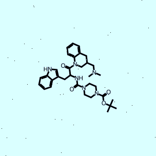 CN(C)CC1Cc2ccccc2N(C(=O)C(Cc2c[nH]c3ccccc23)NC(=O)N2CCN(C(=O)OC(C)(C)C)CC2)C1